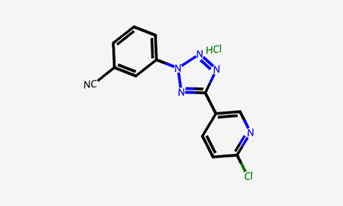 Cl.N#Cc1cccc(-n2nnc(-c3ccc(Cl)nc3)n2)c1